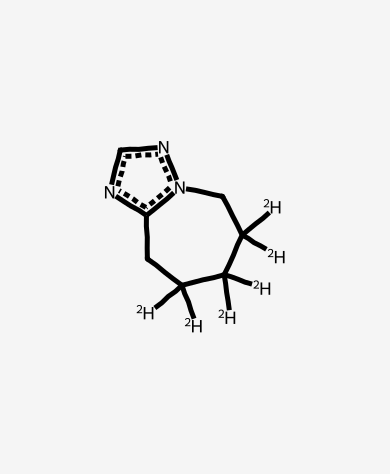 [2H]C1([2H])Cc2ncnn2CC([2H])([2H])C1([2H])[2H]